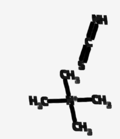 C[N+](C)(C)C.N=C=S